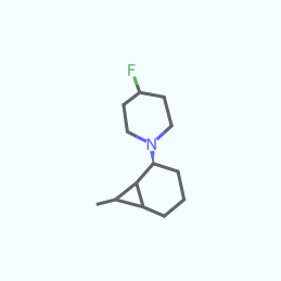 CC1C2CCC[C@H](N3CCC(F)CC3)C12